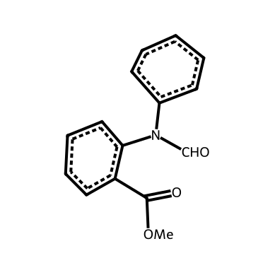 COC(=O)c1ccccc1N(C=O)c1ccccc1